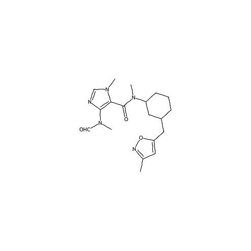 Cc1cc(CC2CCCC(N(C)C(=O)c3c(N(C)C=O)ncn3C)C2)on1